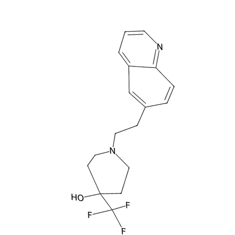 OC1(C(F)(F)F)CCN(CCc2ccc3ncccc3c2)CC1